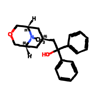 CN1[C@@H]2COC[C@H]1C[C@@H](CC(O)(c1ccccc1)c1ccccc1)C2